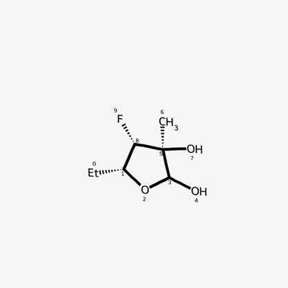 CC[C@H]1OC(O)[C@](C)(O)[C@H]1F